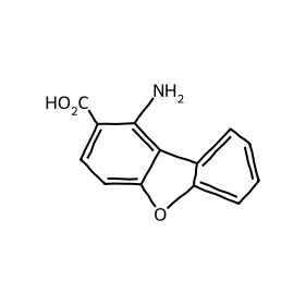 Nc1c(C(=O)O)ccc2oc3ccccc3c12